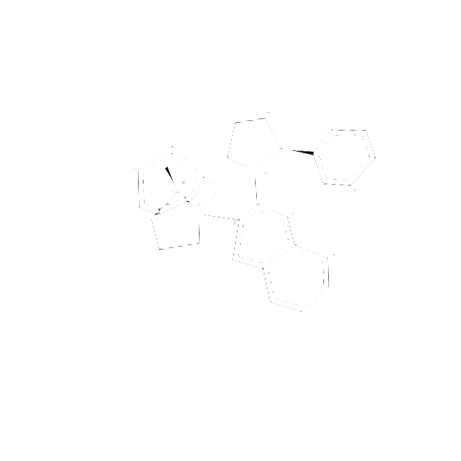 C[C@@H]1CC[C@@H](C)[PH]1(C)c1cc2ccccc2cc1P1[C@H](c2ccccc2)CC[C@H]1c1ccccc1